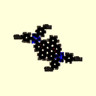 CC(C)(C)c1ccc(-c2nc(-c3ccc(-c4ccccc4-c4c5ccccc5c(-c5ccccc5-c5ccc(-c6nc(-c7ccc(C(C)(C)C)cc7)nc(-c7ccc(C(C)(C)C)cc7)n6)cc5)c5c4ccc4ccccc45)cc3)nc(-c3ccc(C(C)(C)C)cc3)n2)cc1